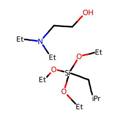 CCN(CC)CCO.CCO[Si](CC(C)C)(OCC)OCC